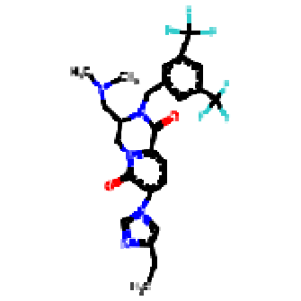 CCc1cn(-c2ccc3n(c2=O)CC(CN(C)C)N(Cc2cc(C(F)(F)F)cc(C(F)(F)F)c2)C3=O)cn1